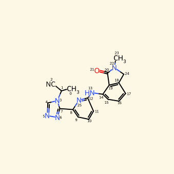 CC(C#N)n1cnnc1-c1cccc(Nc2cccc3c2C(=O)N(C)C3)n1